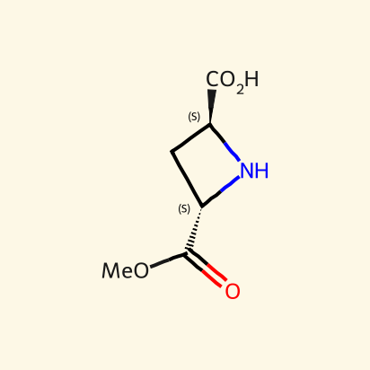 COC(=O)[C@@H]1C[C@@H](C(=O)O)N1